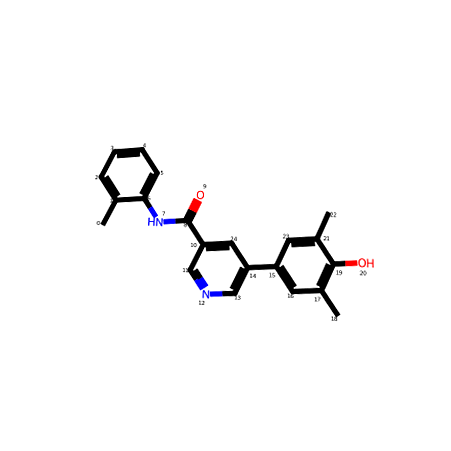 Cc1ccccc1NC(=O)c1cncc(-c2cc(C)c(O)c(C)c2)c1